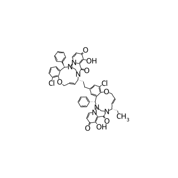 CC[C@H]1/C=C/COc2c(Cl)cc(CC[C@@H]3/C=C/COc4c(Cl)cccc4[C@@H](c4ccccc4)N4CN3C(=O)c3c(O)c(=O)ccn34)cc2[C@@H](c2ccccc2)N2CN1C(=O)c1c(O)c(=O)ccn12